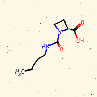 CCCCNC(=O)N1CC[C@H]1C(=O)O